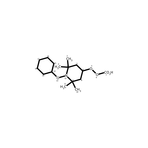 CC1(C)CC(OOC(=O)O)CC(C)(C)N1OC1CCCCC1